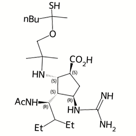 CCCCC(C)(S)OCC(C)(C)N[C@H]1[C@@H]([C@H](NC(C)=O)C(CC)CC)[C@H](NC(=N)N)C[C@@H]1C(=O)O